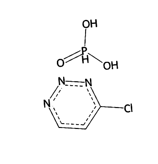 Clc1ccnnn1.O=[PH](O)O